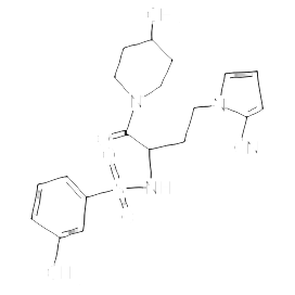 Cc1cccc(S(=O)(=O)NC(CCn2cccc2C#N)C(=O)N2CCC(C)CC2)c1